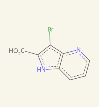 O=C(O)c1[nH]c2cccnc2c1Br